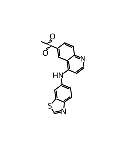 CS(=O)(=O)c1ccc2nccc(Nc3ccc4ncsc4c3)c2c1